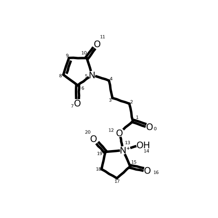 O=C(CCCN1C(=O)C=CC1=O)O[N+]1(O)C(=O)CCC1=O